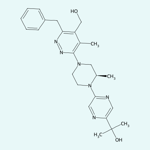 Cc1c(N2CCN(c3cnc(C(C)(C)O)cn3)[C@H](C)C2)nnc(Cc2ccccc2)c1CO